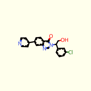 O=c1c2ccc(-c3ccncc3)cc2ncn1C(CO)c1cccc(Cl)c1